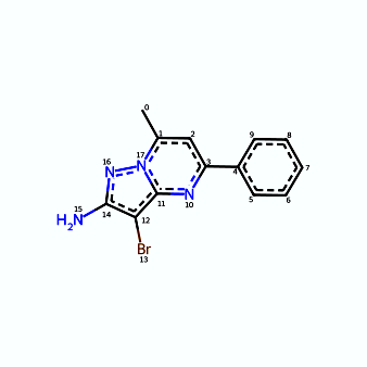 Cc1cc(-c2ccccc2)nc2c(Br)c(N)nn12